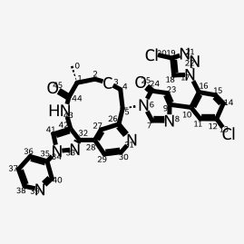 C[C@@H]1CCC[C@H](n2cnc(-c3cc(Cl)ccc3-n3cc(Cl)nn3)cc2=O)c2cc(ccn2)-c2nn(-c3cccnc3)cc2NC1=O